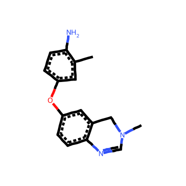 Cc1cc(Oc2ccc3c(c2)CN(C)C=N3)ccc1N